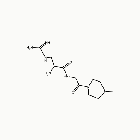 CN1CCN(C(=O)CNC(=O)C(N)CNC(=N)N)CC1